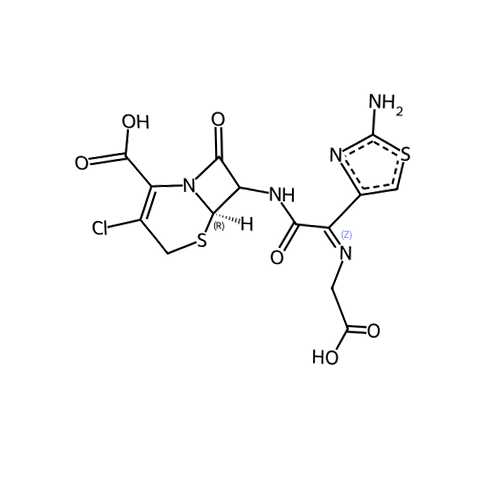 Nc1nc(/C(=N/CC(=O)O)C(=O)NC2C(=O)N3C(C(=O)O)=C(Cl)CS[C@H]23)cs1